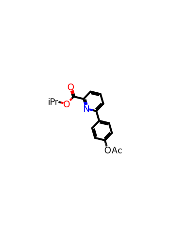 CC(=O)Oc1ccc(-c2cccc(C(=O)OC(C)C)n2)cc1